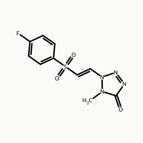 Cn1c(=O)nnn1/C=C/S(=O)(=O)c1ccc(F)cc1